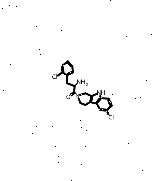 N[C@H](Cc1ccccc1Cl)C(=O)N1CCc2c([nH]c3ccc(Cl)cc23)C1